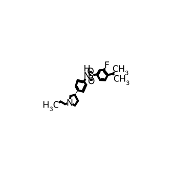 CCCN1CC[C@@H](c2ccc(NS(=O)(=O)c3ccc(C(C)C)c(F)c3)cc2)C1